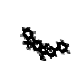 C=P1(C)C(/C=C\C(C)c2ccccc2)=C(CC)c2cc3c(cc21)-c1ccccc1C3(C)C